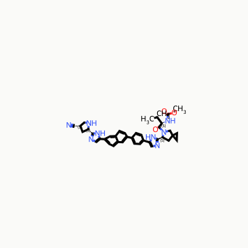 COC(=O)N[C@H](C(=O)N1CC2(CC2)C[C@H]1c1ncc(-c2ccc(-c3ccc4cc(-c5cnc([C@@H]6C[C@H](C#N)CN6)[nH]5)ccc4c3)cc2)[nH]1)C(C)C